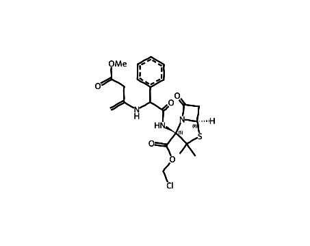 C=C(CC(=O)OC)NC(C(=O)N[C@@]1(C(=O)OCCl)N2C(=O)C[C@H]2SC1(C)C)c1ccccc1